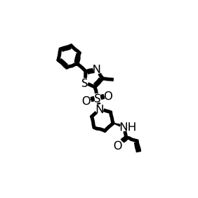 C=CC(=O)N[C@H]1CCCN(S(=O)(=O)c2sc(-c3ccccc3)nc2C)C1